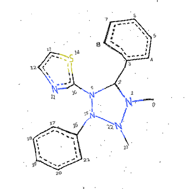 CN1C(c2ccccc2)N(c2nccs2)N(c2ccccc2)N1C